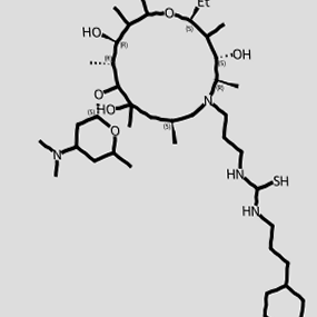 CC[C@@H]1OC(O)C(C)[C@H](O)[C@@H](C)C(O[C@H]2CC(N(C)C)CC(C)O2)C(C)(O)C[C@H](C)CN(CCCNC(S)NCCCC2CCCCC2)[C@H](C)[C@@H](O)C1C